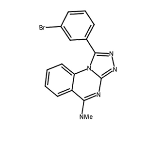 CNc1nc2nnc(-c3cccc(Br)c3)n2c2ccccc12